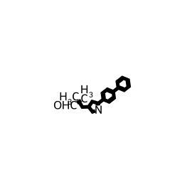 CC(C)(C=O)CC1CN=C(c2ccc(-c3ccccc3)cc2)C1